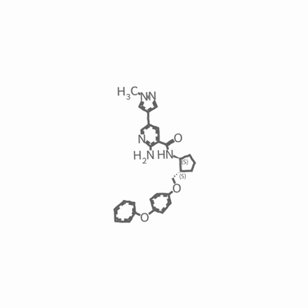 Cn1cc(-c2cnc(N)c(C(=O)N[C@H]3CCC[C@@H]3COc3ccc(Oc4ccccc4)cc3)c2)cn1